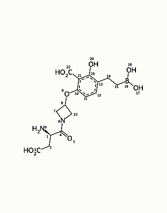 N[C@H](CC(=O)O)C(=O)N1CC(Oc2ccc(CCB(O)O)c(O)c2C(=O)O)C1